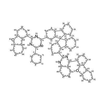 c1ccc(-c2nc(-c3ccc4c(c3)C3(c5ccccc5-4)c4ccccc4-c4c(-c5nc(-c6cccc7c6oc6ccccc67)c6ccccc6n5)cccc43)nc(-c3cccc4oc5ccccc5c34)n2)cc1